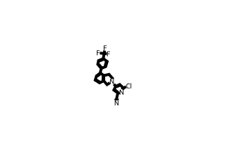 N#Cc1cc(N2CCc3c(cccc3-c3ccc(C(F)(F)F)cc3)C2)cc(Cl)n1